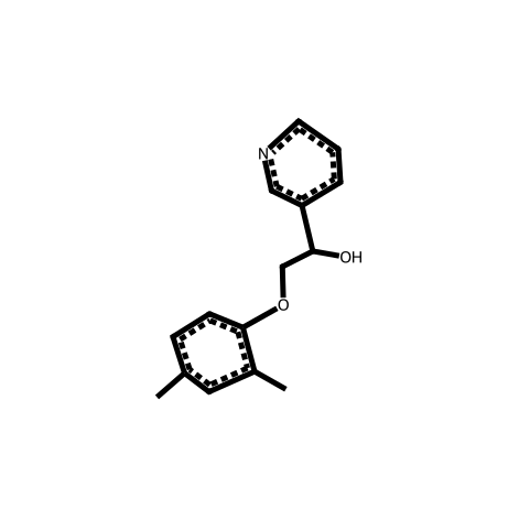 Cc1ccc(OCC(O)c2cccnc2)c(C)c1